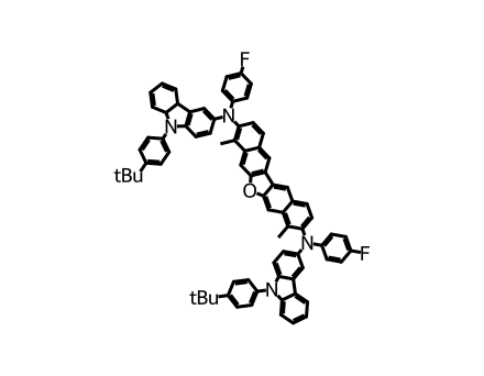 Cc1c(N(c2ccc(F)cc2)c2ccc3c(c2)C2C=CC=CC2N3c2ccc(C(C)(C)C)cc2)ccc2cc3c(cc12)oc1cc2c(C)c(N(c4ccc(F)cc4)c4ccc5c(c4)c4ccccc4n5-c4ccc(C(C)(C)C)cc4)ccc2cc13